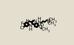 CCOc1ccc2c(Nc3ccc(F)c(Cl)c3)c(C#N)cnc2c1NC(=O)C=CCN(C)C